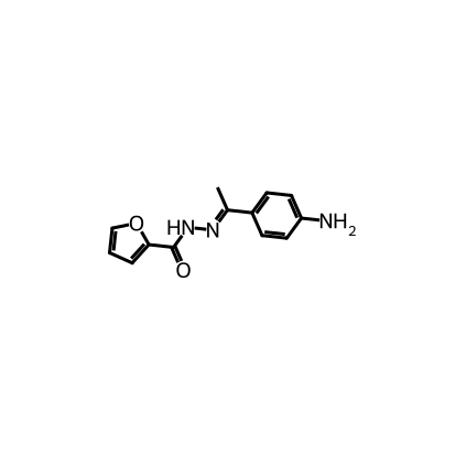 CC(=NNC(=O)c1ccco1)c1ccc(N)cc1